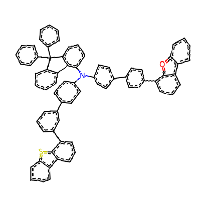 c1ccc(C2(c3ccccc3)c3ccccc3-c3c(N(c4ccc(-c5ccc(-c6cccc7c6oc6ccccc67)cc5)cc4)c4ccc(-c5cccc(-c6cccc7c6sc6ccccc67)c5)cc4)cccc32)cc1